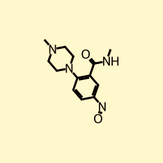 CNC(=O)c1cc(N=O)ccc1N1CCN(C)CC1